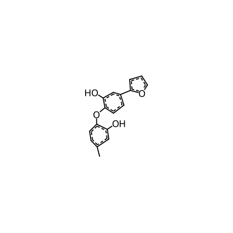 Cc1ccc(Oc2ccc(-c3ccco3)cc2O)c(O)c1